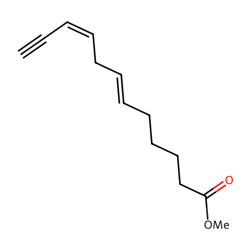 C#C/C=C\C/C=C/CCCCC(=O)OC